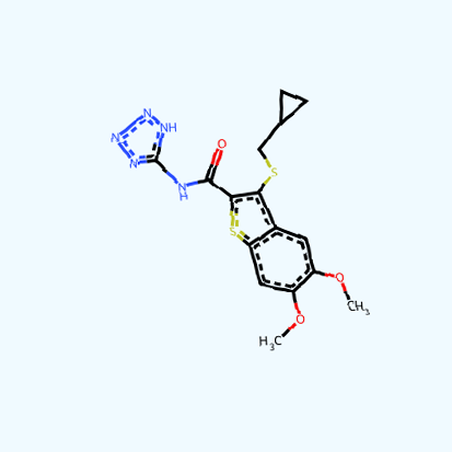 COc1cc2sc(C(=O)Nc3nnn[nH]3)c(SCC3CC3)c2cc1OC